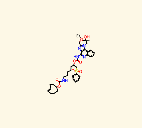 CCOCc1nc2c(NC(=O)OC(CCCCCNC(=O)OC3CC/C=C/CCC3)CS(=O)(=O)c3ccccc3)nc3ccccc3c2n1CC(C)(C)O